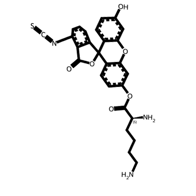 NCCCC[C@H](N)C(=O)Oc1ccc2c(c1)Oc1cc(O)ccc1C21OC(=O)c2c(N=C=S)cccc21